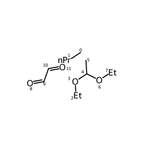 CCCC.CCOC(C)OCC.O=CC=O